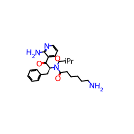 CC(C)C(=O)N(C(=O)CCCCCN)[C@@H](Cc1ccccc1)C(=O)c1cccnc1N